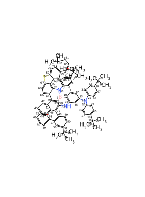 CC(C)(C)c1ccc(N2B3c4ccc(N(c5ccc(C(C)(C)C)cc5)c5ccc(C(C)(C)C)cc5)cc4Nc4c3c(c3ccccc3c4-c3ccc(C(C)(C)C)cc3-c3ccccc3)-c3ccc4sc5cc6c(cc5c4c32)C(C)(C)CCC6(C)C)cc1